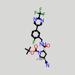 C[C@H]1[C@H](C#N)C[C@@H](C(=O)NCc2cc(-c3cnc(C(F)(F)F)nc3)ccc2F)N1C(=O)OC(C)(C)C